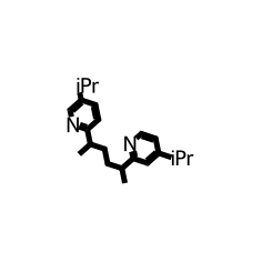 CC(C)c1ccc(C(C)CCC(C)c2cc(C(C)C)ccn2)nc1